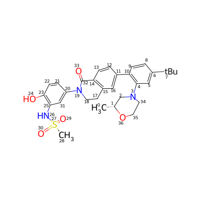 C[C@@H]1CN(c2cc(C(C)(C)C)ccc2-c2ccc3c(c2)CCN(c2ccc(O)c(NS(C)(=O)=O)c2)C3=O)CCO1